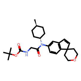 CC(C)(C)OC(=O)NCC(=O)N(c1ccc2c(c1)C=CC21CCOCC1)[C@H]1CC[C@H](C)CC1